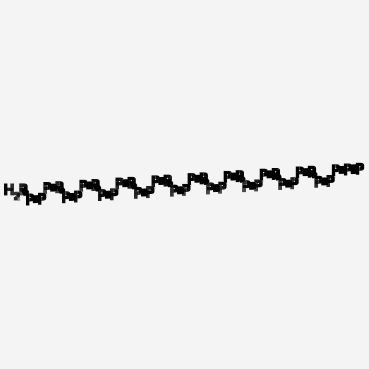 P#P=P\P=P/P=P\P=P/P=P\P=P/P=P\P=P/P=P\P=P/P=P\P=P/P=P\P=P/P=P\P=P/P=P\P=P/P